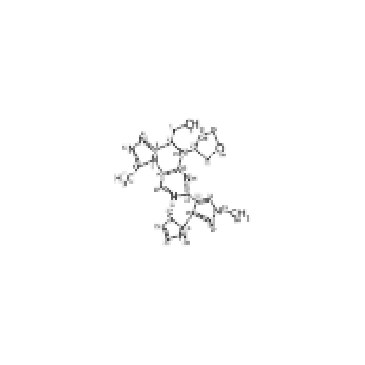 CC[C@@H]1c2nnc(C)n2-c2cnc(-c3cn(C)nc3-c3nccs3)nc2N1C1CCOC1